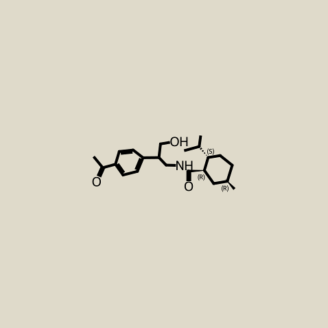 CC(=O)c1ccc(C(CO)CNC(=O)[C@@H]2C[C@H](C)CC[C@H]2C(C)C)cc1